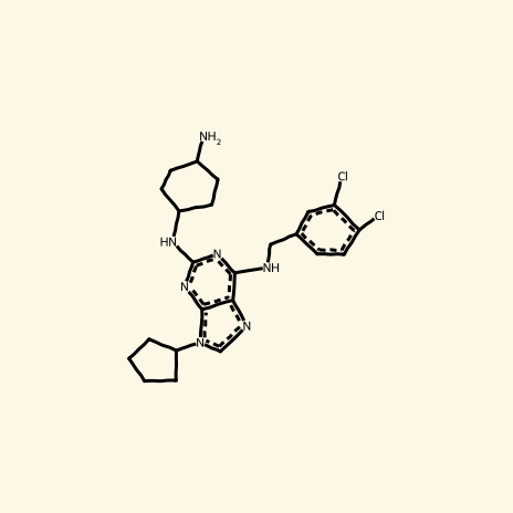 NC1CCC(Nc2nc(NCc3ccc(Cl)c(Cl)c3)c3ncn(C4CCCC4)c3n2)CC1